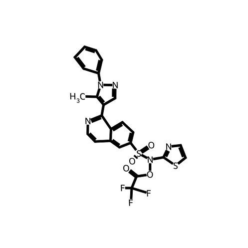 Cc1c(-c2nccc3cc(S(=O)(=O)N(OC(=O)C(F)(F)F)c4nccs4)ccc23)cnn1-c1ccccc1